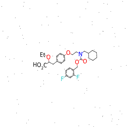 CCOC(Cc1ccc(OCCN(CC2CCCCC2)C(=O)OCc2ccc(F)cc2F)cc1)C(=O)O